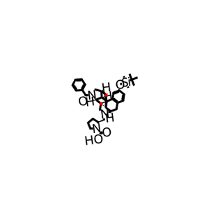 CC(C)(C)[Si](C)(C)Oc1ccc2c(c1)[C@]13CCN(C[C@@H]4CCCN4C(=O)O)[C@H](C2)[C@]12CC[C@@H]1[C@H]3[C@@H](CN1C(=O)c1ccccc1)C2